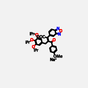 COc1ccc(C(=O)C(Cc2cc(OC(C)C)c(OC(C)C)c(OC(C)C)c2)=C(C(=O)[O-])c2ccc3nonc3c2)cc1.[Na+]